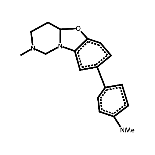 CNc1ccc(-c2ccc3c(c2)N2CN(C)CCC2O3)cc1